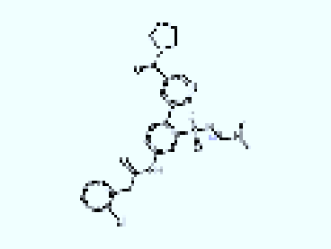 CN(C)/C=N/S(=O)(=O)c1cc(NC(=O)Cc2ccccc2Cl)ccc1-c1cncc(C(=O)N2CCCC2)c1